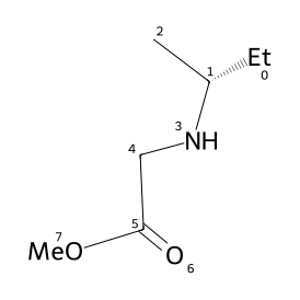 CC[C@@H](C)NCC(=O)OC